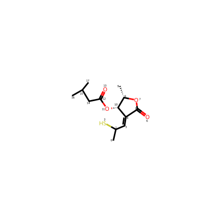 CC(S)/C=C1/C(=O)O[C@@H](C)[C@H]1OC(=O)CC(C)C